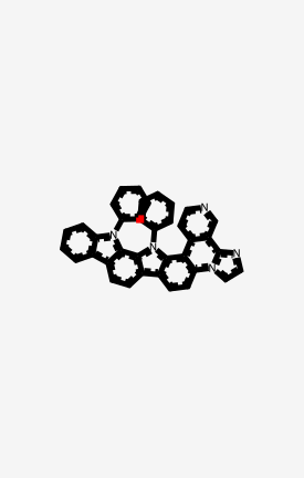 c1ccc(-n2c3ccccc3c3ccc4c5ccc6c(c7ccncc7c7nccn67)c5n(-c5ccccc5)c4c32)cc1